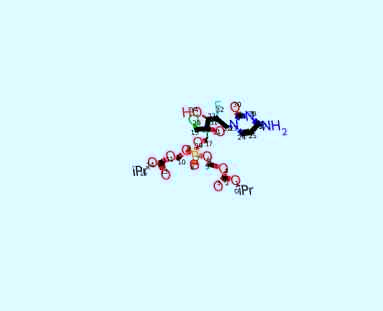 CC(C)OC(=O)OCOP(=O)(OCOC(=O)OC(C)C)OC[C@@]1(CCl)O[C@@H](n2ccc(N)nc2=O)[C@H](F)[C@@H]1O